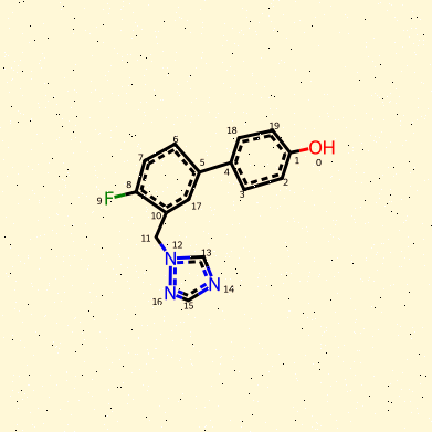 Oc1ccc(-c2ccc(F)c(Cn3cncn3)c2)cc1